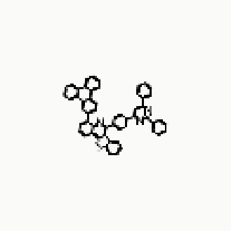 c1ccc(-c2cc(-c3ccc(-c4nc5c(-c6ccc7c8ccccc8c8ccccc8c7c6)cccc5c5sc6ccccc6c45)cc3)nc(-c3ccccc3)n2)cc1